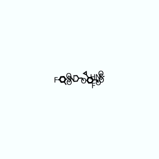 Cc1cc(F)ccc1S(=O)(=O)N1CCC(COc2cc(F)c(C(=O)NS(C)(=O)=O)cc2C2CC2)CC1